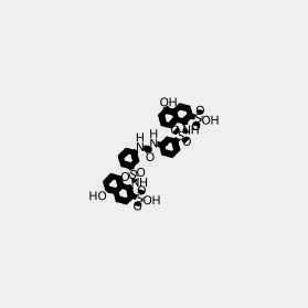 O=C(Nc1cccc(S(=O)(=O)Nc2c(S(=O)(=O)O)ccc3c(O)cccc23)c1)Nc1cccc(S(=O)(=O)Nc2c(S(=O)(=O)O)ccc3c(O)cccc23)c1